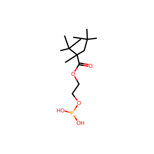 CC(C)(C)CC(C)(C(=O)OCCOP(O)O)C(C)(C)C